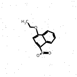 CCOc1ccc([N+](=O)[O-])c2ccccc12